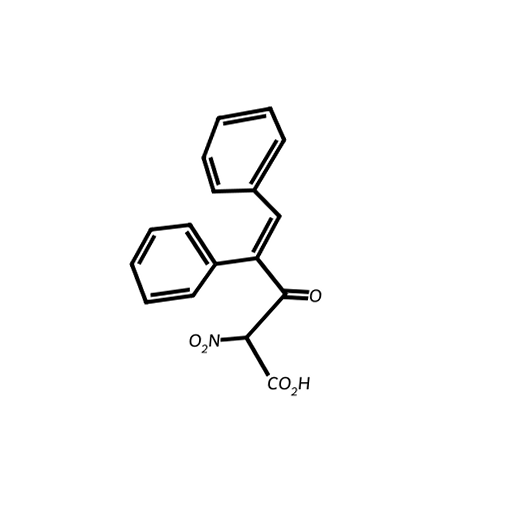 O=C(O)C(C(=O)C(=Cc1ccccc1)c1ccccc1)[N+](=O)[O-]